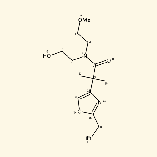 COCCN(CCO)C(=O)C(C)(C)c1coc(CC(C)C)n1